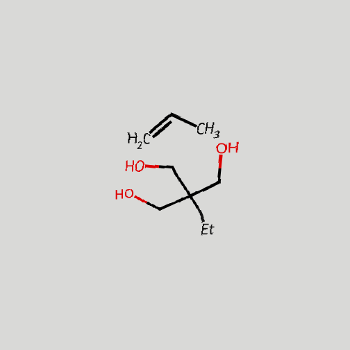 C=CC.CCC(CO)(CO)CO